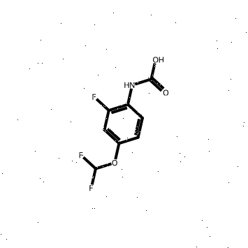 O=C(O)Nc1ccc(OC(F)F)cc1F